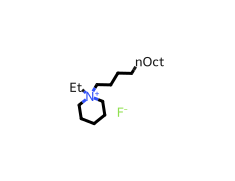 CCCCCCCCCCCC[N+]1(CC)CCCCC1.[F-]